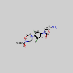 CNC(=O)N1CCN(c2c(F)cc(N3C[C@H](CN)OC3=O)cc2F)CCO1